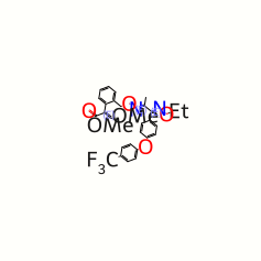 CCO/N=C(/C(C)=N/OCc1ccccc1/C(=C\OC)C(=O)OC)c1ccc(Oc2ccc(C(F)(F)F)cc2)cc1